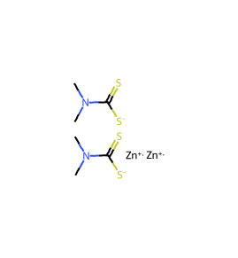 CN(C)C(=S)[S-].CN(C)C(=S)[S-].[Zn+].[Zn+]